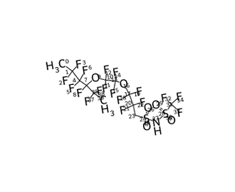 CC(F)(F)C(F)(F)C(F)(OC(F)(F)C(F)(F)OC(F)(F)C(F)(F)CS(=O)(=O)NS(=O)(=O)C(F)(F)F)C(C)(F)F